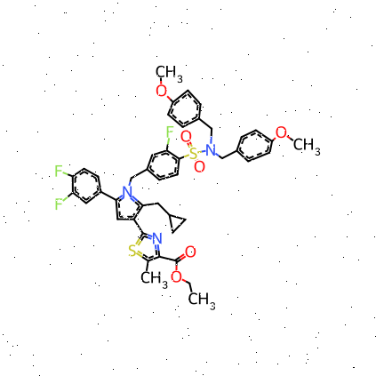 CCOC(=O)c1nc(-c2cc(-c3ccc(F)c(F)c3)n(Cc3ccc(S(=O)(=O)N(Cc4ccc(OC)cc4)Cc4ccc(OC)cc4)c(F)c3)c2CC2CC2)sc1C